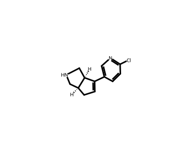 Clc1ccc(C2=CC[C@H]3CNC[C@@H]23)cn1